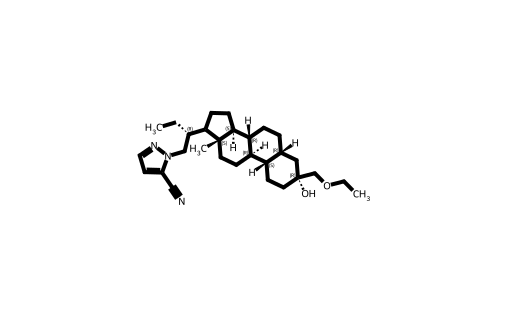 CCOC[C@@]1(O)CC[C@H]2[C@H](CC[C@@H]3[C@@H]2CC[C@]2(C)C([C@@H](CC)Cn4nccc4C#N)CC[C@@H]32)C1